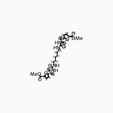 COC(=O)c1ccc(S(=O)(=O)NC(=O)NCCCCCCNC(=O)NS(=O)(=O)c2ccc(C(=O)OC)o2)o1